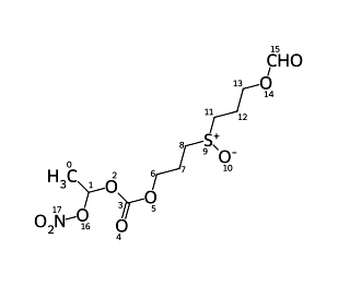 CC(OC(=O)OCCC[S+]([O-])CCCOC=O)O[N+](=O)[O-]